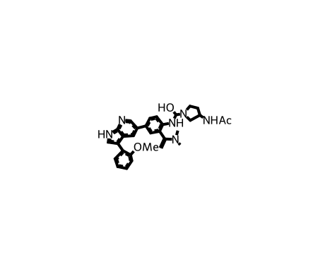 C=C(c1cc(-c2cnc3[nH]cc(-c4ccccc4OC)c3c2)ccc1NC(O)N1CCC(NC(C)=O)C1)N(C)C